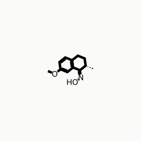 COc1ccc2c(c1)C(=NO)[C@@H](C)CC2